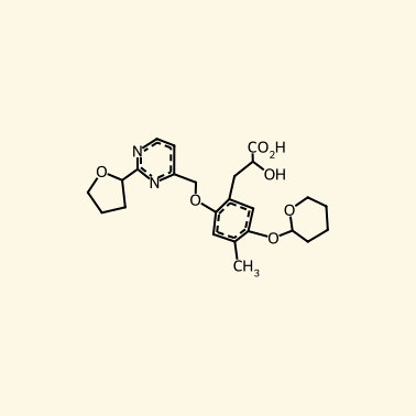 Cc1cc(OCc2ccnc(C3CCCO3)n2)c(CC(O)C(=O)O)cc1OC1CCCCO1